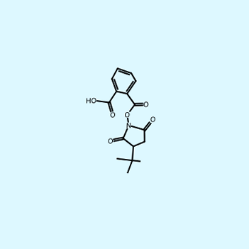 CC(C)(C)C1CC(=O)N(OC(=O)c2ccccc2C(=O)O)C1=O